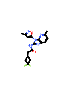 Cc1cc(-n2c(NC(=O)CC3CC(F)(F)C3)nc3ccc(C)nc32)on1